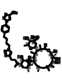 CC[C@H]1OC(=O)[C@H](C)C([C@H]2C[C@@](C)(OC)[C@@H](O)[C@H](C)O2)[C@H](C)[C@@H](O[C@@H]2O[C@H](C)C[C@H](N(C)CCc3cn(CCCCc4ccc(-n5cc(C(C)(C)C)nn5)cc4)nn3)[C@H]2O)[C@](C)(O)C[C@@H](C)CN(C)[C@H](C)[C@@H](O)[C@]1(C)O